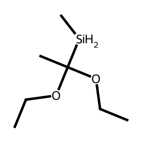 CCOC(C)(OCC)[SiH2]C